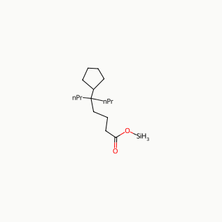 CCCC(CCC)(CCCC(=O)O[SiH3])C1CCCC1